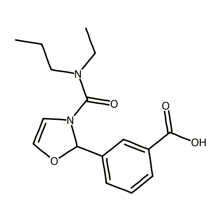 CCCN(CC)C(=O)N1C=COC1c1cccc(C(=O)O)c1